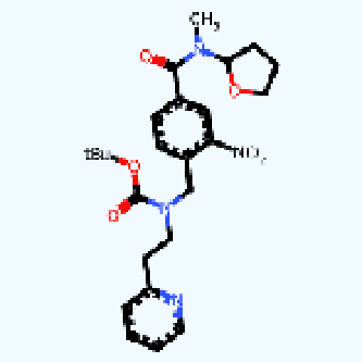 CN(C(=O)c1ccc(CN(CCc2ccccn2)C(=O)OC(C)(C)C)c([N+](=O)[O-])c1)C1CCCO1